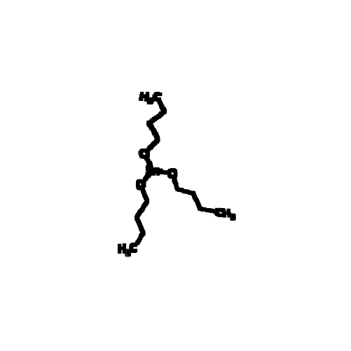 CCCC[O][Sn]([O]CCCC)[O]CCCC